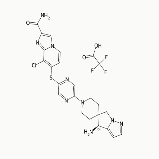 NC(=O)c1cn2ccc(Sc3cnc(N4CCC5(CC4)Cn4nccc4[C@H]5N)cn3)c(Cl)c2n1.O=C(O)C(F)(F)F